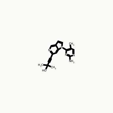 Cc1cnc(N)nc1-n1ccc2cnc(C#CC(C)(C)O)cc21